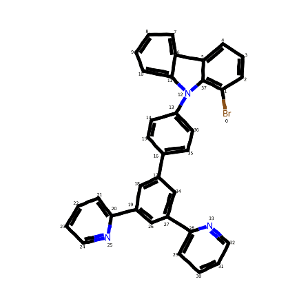 Brc1cccc2c3ccccc3n(-c3ccc(-c4cc(-c5ccccn5)cc(-c5ccccn5)c4)cc3)c12